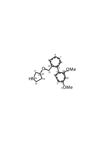 COc1ccc(-c2ccccc2CO[C@H]2CCNC2)c(OC)c1